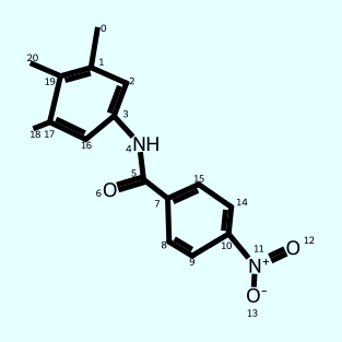 Cc1cc(NC(=O)c2ccc([N+](=O)[O-])cc2)cc(C)c1C